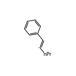 CCC[C]=Cc1ccccc1